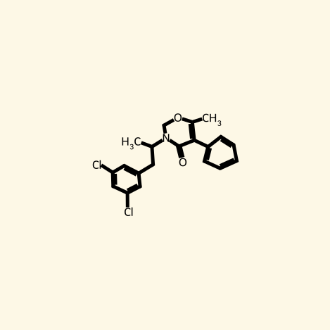 CC1=C(c2ccccc2)C(=O)N(C(C)Cc2cc(Cl)cc(Cl)c2)CO1